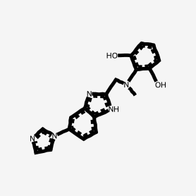 CN(Cc1nc2cc(-n3ccnc3)ccc2[nH]1)c1c(O)cccc1O